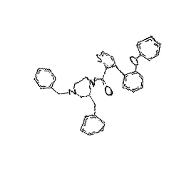 O=C(c1sccc1-c1ccccc1Oc1ccccc1)N1CCN(Cc2ccccc2)CC1Cc1ccccc1